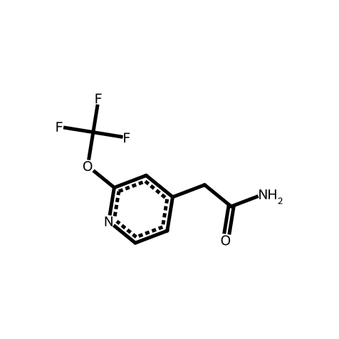 NC(=O)Cc1ccnc(OC(F)(F)F)c1